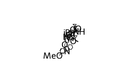 C=C[C@@H]1C[C@]1(NC(=O)[C@@H]1C[C@@H](Oc2c3c(nc4cc(OC)ccc24)CCCC3)CN1C(=O)CC(C)C)C(=O)NS(=O)(=O)C1CC1